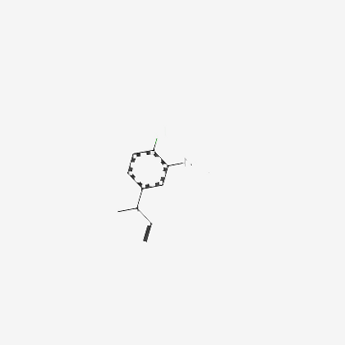 C=C[C](C)c1ccc(Cl)c([N+](=O)[O-])c1